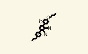 CCCCOc1ccc(-c2ccc(C34CCC(CCC)(CC3)CC4)c(C#N)c2C#N)c(OC)c1